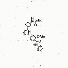 CCCCC(=O)Nc1csc(-c2cncc(-c3ccc(C(=O)Nc4nccs4)c(OC)c3)n2)c1